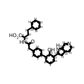 O=C(Cc1ccc(-c2cccc(-c3cc4ccncc4[nH]3)c2O)cc1)NC(CCc1ccccc1)C(=O)O